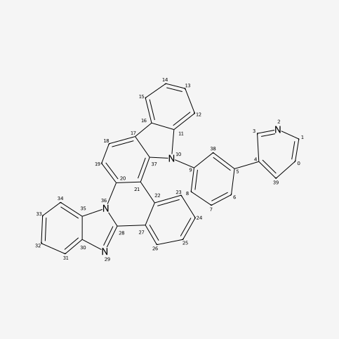 c1cncc(-c2cccc(-n3c4ccccc4c4ccc5c(c6ccccc6c6nc7ccccc7n56)c43)c2)c1